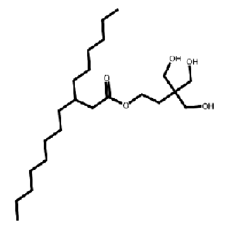 CCCCCCCCC(CCCCCC)CC(=O)OCCC(CO)(CO)CO